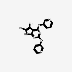 CCc1[nH]c2nc(Oc3cccnc3)nc(Oc3cccnc3)c2c1C(F)(F)F